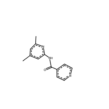 Cc1cc(C)nc(NC(=O)c2ccncc2)c1